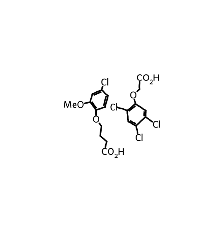 COc1cc(Cl)ccc1OCCCC(=O)O.O=C(O)COc1cc(Cl)c(Cl)cc1Cl